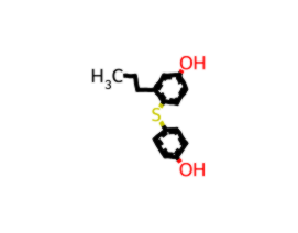 CCCc1cc(O)ccc1Sc1ccc(O)cc1